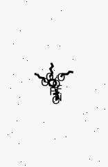 CCCCOC[C@H]1O[C@@H](C(F)(F)C(C)(C)N=O)C[C@@H](OCCCC)[C@H]1OCCCC